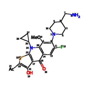 COc1c(N2CCC(CN)CC2)c(F)cc2c(=O)c3c(O)c(C(C)=O)sc3n(C3CC3)c12